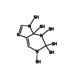 SN1C=C2N=CN(S)C2(S)N(S)C1(S)S